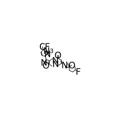 Cc1onc(-c2ccc(C(F)(F)F)nn2)c1Cn1ncc(N2CC3(CCC(F)CO3)C2)cc1=O